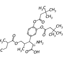 CCC(C)C(=O)OCC(C)C(c1ccc(OC(=O)CC(C)(C)C)c(OC(=O)CC(C)(C)C)c1)[C@H](N)C(=O)O